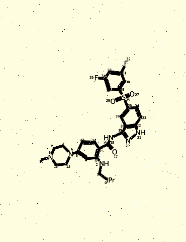 CC(C)CNc1cc(N2CCN(C)CC2)ccc1C(=O)Nc1n[nH]c2ccc(S(=O)(=O)c3cc(F)cc(F)c3)cc12